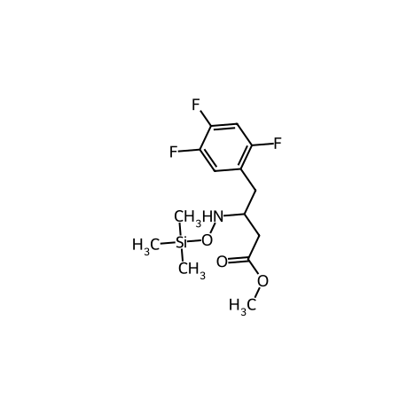 COC(=O)CC(Cc1cc(F)c(F)cc1F)NO[Si](C)(C)C